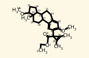 CCOC(=O)C1(c2cc3c(cc2OC)CCC2C3CCC3(C)C(OC)CCC23)C(C)=C1C